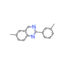 Cc1cccc(-c2ncc3cc(C)ccc3n2)c1